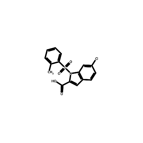 Cc1ccccc1S(=O)(=O)n1c(C(=O)O)cc2ccc(Cl)cc21